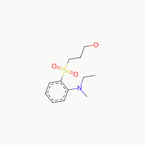 CCN(C)c1ccccc1S(=O)(=O)CCC[O]